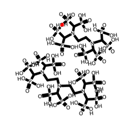 O=P(O)(O)C(N(CCN(C(P(=O)(O)O)P(=O)(O)O)C(P(=O)(O)O)P(=O)(O)O)C(P(=O)(O)O)P(=O)(O)O)P(=O)(O)O.O=P(O)(O)C(N(CCN(C(P(=O)(O)O)P(=O)(O)O)C(P(=O)(O)O)P(=O)(O)O)CCN(C(P(=O)(O)O)P(=O)(O)O)C(P(=O)(O)O)P(=O)(O)O)P(=O)(O)O